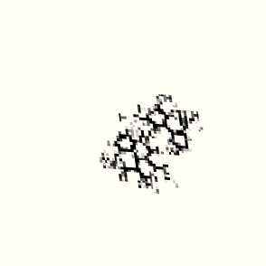 CC1=C(C(=O)O)C(c2ccccc2[N+](=O)[O-])C(C(=O)O)=C(C)N1.COC(=O)C1=C(C)NC(C)=C(C(=O)OC)C1c1ccccc1[N+](=O)[O-]